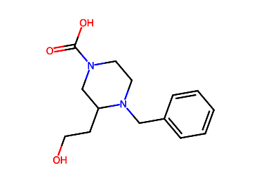 O=C(O)N1CCN(Cc2ccccc2)C(CCO)C1